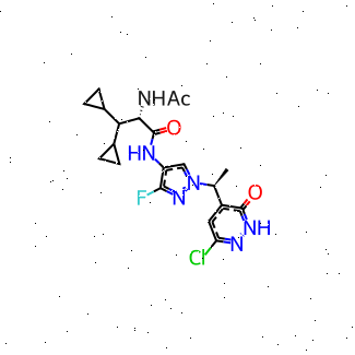 CC(=O)N[C@H](C(=O)Nc1cn([C@@H](C)c2cc(Cl)n[nH]c2=O)nc1F)C(C1CC1)C1CC1